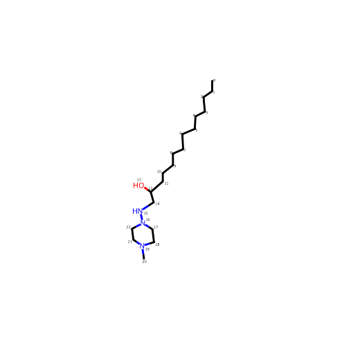 CCCCCCCCCCCCC(O)CNN1CCN(C)CC1